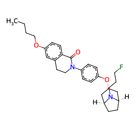 CCCCOc1ccc2c(c1)CCN(c1ccc(O[C@@H]3C[C@H]4CC[C@@H](C3)N4CCCF)cc1)C2=O